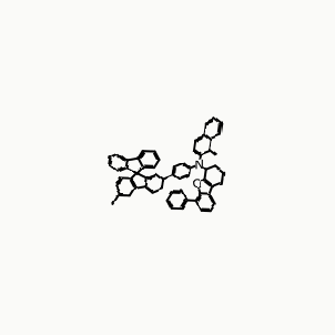 CC1C=CC2=C(C1)C1=CCC(c3ccc(N(C4=CC=C5C=CC=CC5C4C)C4CCCc5c4oc4c(-c6ccccc6)cccc54)cc3)C=C1C21c2ccccc2-c2ccccc21